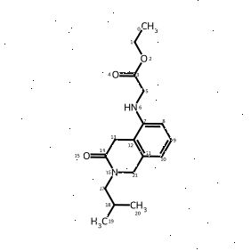 CCOC(=O)CNc1cccc2c1CC(=O)N(CC(C)C)C2